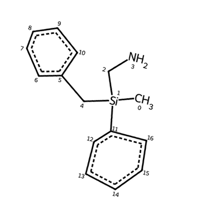 C[Si](CN)(Cc1ccccc1)c1ccccc1